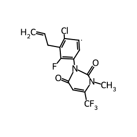 C=CCc1c(Cl)[c]cc(-n2c(=O)cc(C(F)(F)F)n(C)c2=O)c1F